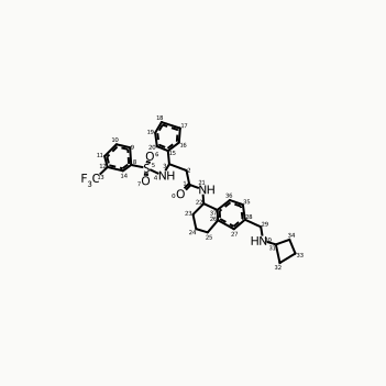 O=C(CC(NS(=O)(=O)c1cccc(C(F)(F)F)c1)c1ccccc1)NC1CCCc2cc(CNC3CCC3)ccc21